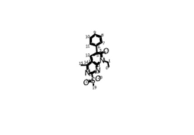 CCn1c(=O)c(-c2ccccc2)cc2c(C)nc(S(C)(=O)=O)nc21